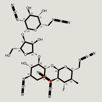 C[C@H]1[C@H](F)[C@@H](N=[N+]=[N-])[C@@H](O[C@H]2[C@H](O[C@@H]3O[C@H](CO)[C@@H](O[C@H]4O[C@@H](CN=[N+]=[N-])[C@@H](O)[C@H](O)[C@H]4N=[N+]=[N-])[C@H]3O)[C@@H](O)[C@H](N=[N+]=[N-])C[C@@H]2N=[N+]=[N-])O[C@@H]1CN=[N+]=[N-]